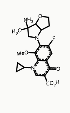 COc1c(N2CC(C)(N)C3OCCC32)c(F)cc2c(=O)c(C(=O)O)cn(C3CC3)c12